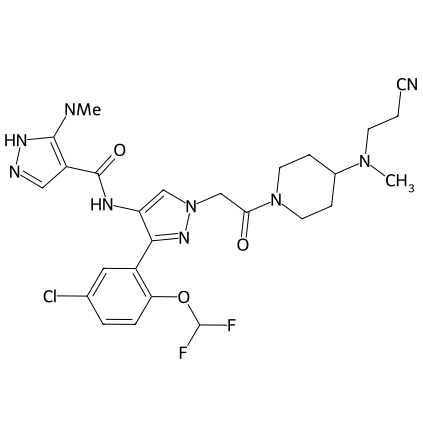 CNc1[nH]ncc1C(=O)Nc1cn(CC(=O)N2CCC(N(C)CCC#N)CC2)nc1-c1cc(Cl)ccc1OC(F)F